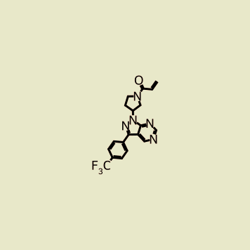 C=CC(=O)N1CCC(n2nc(-c3ccc(C(F)(F)F)cc3)c3cncnc32)C1